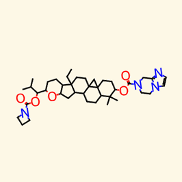 CCC12CCC34CC35CCC(OC(=O)N3CCn6ccnc6C3)C(C)(C)C5CCC4C1CC1OC(C(OC(=O)N3CCC3)C(C)C)CCC12